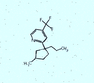 CCCC1(c2cc(C(F)(F)F)ccn2)CCC(C)C1